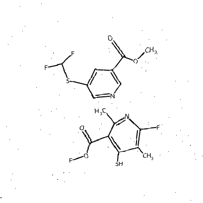 COC(=O)c1cncc(SC(F)F)c1.Cc1nc(F)c(C)c(S)c1C(=O)OF